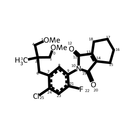 COCC(C)(COC)Cc1cc(N2C(=O)C3=C(CCCC3)C2=O)c(F)cc1Cl